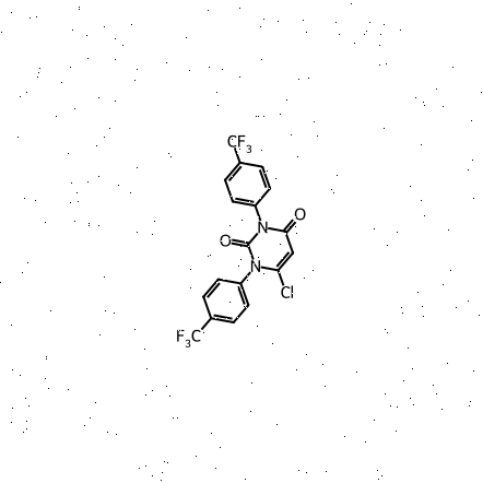 O=c1cc(Cl)n(-c2ccc(C(F)(F)F)cc2)c(=O)n1-c1ccc(C(F)(F)F)cc1